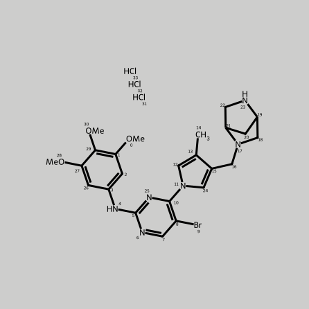 COc1cc(Nc2ncc(Br)c(-n3cc(C)c(CN4CC5CC4CN5)c3)n2)cc(OC)c1OC.Cl.Cl.Cl